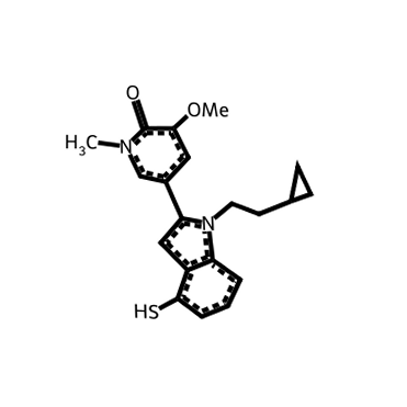 COc1cc(-c2cc3c(S)cccc3n2CCC2CC2)cn(C)c1=O